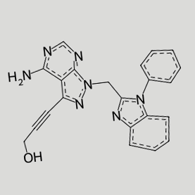 Nc1ncnc2c1c(C#CCO)nn2Cc1nc2ccccc2n1-c1ccccc1